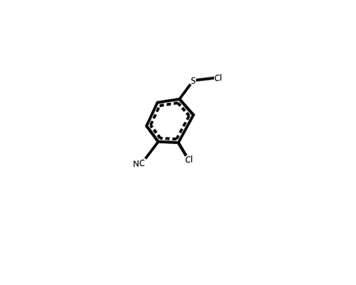 N#Cc1ccc(SCl)cc1Cl